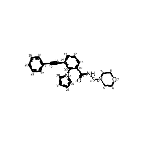 O=C(NSN1CCOCC1)c1cccc(C#Cc2ccccc2)c1-n1cccc1